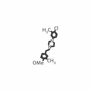 COc1ccc(CCN2CCN(c3ccc(Cl)c(C)c3)CC2)cc1C